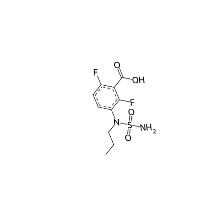 CCCN(c1ccc(F)c(C(=O)O)c1F)S(N)(=O)=O